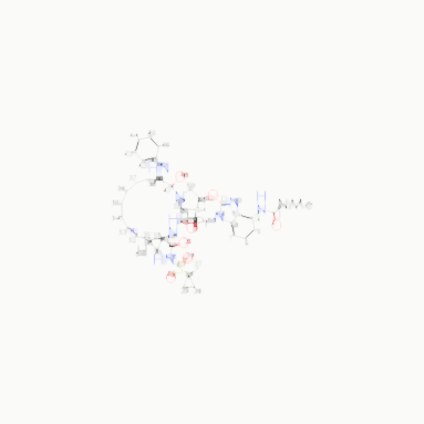 CNC(=O)Nc1cccc2c1nc(O[C@@H]1C[C@H]3C(=O)N[C@]4(C(=O)NS(=O)(=O)C5(C)CC5)C[C@H]4/C=C\CCCCC[C@H](Nc4ccccc4)C(=O)N3C1)n2C(C)C